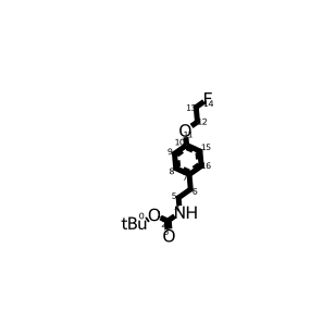 CC(C)(C)OC(=O)NCCc1ccc(OCCF)cc1